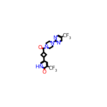 O=C(C1CC(c2c[nH]c(=O)c(C(F)(F)F)c2)C1)N1CCN(c2ncc(C(F)(F)F)cn2)CC1